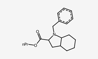 CCCOC(=O)C1CC2CCCCC2N1Cc1ccccc1